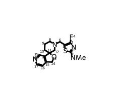 CNc1nc(F)c(CN2CCCC3(C2)OCc2ccncc23)s1